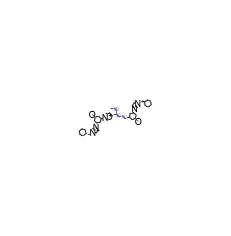 C\C=C/C(=C\C=C\c1cc(OC)cc(-n2cc[n+](Cc3ccccc3)c2)c1)c1cc[n+](-c2cc(OC)cc(-n3cc[n+](Cc4ccccc4)c3)c2)cc1